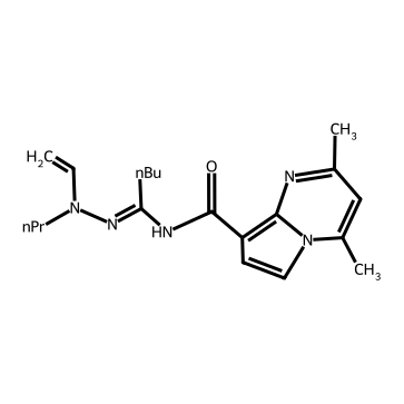 C=CN(CCC)/N=C(\CCCC)NC(=O)c1ccn2c(C)cc(C)nc12